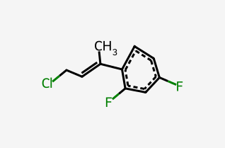 CC(=CCCl)c1ccc(F)cc1F